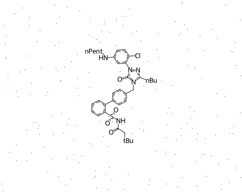 CCCCCNc1ccc(Cl)c(-n2nc(CCCC)n(Cc3ccc(-c4ccccc4S(=O)(=O)NC(=O)CC(C)(C)C)cc3)c2=O)c1